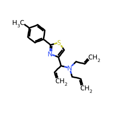 C=CCN(CC=C)C(C=C)c1csc(-c2ccc(C)cc2)n1